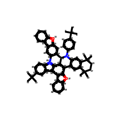 CC(C)(C)c1ccc(N2B3c4cc5oc6ccccc6c5cc4-n4c5ccc(C(C)(C)C)cc5c5c6c(oc7ccccc76)c(c3c54)-c3cc4c(cc32)C(C)(C)CCC4(C)C)cc1